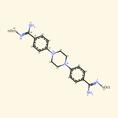 CCCCCCCCN=C(N)c1ccc(N2CCN(c3ccc(C(N)=NCCCCCCCC)cc3)CC2)cc1